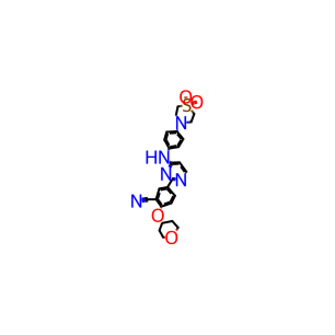 N#Cc1cc(-c2nccc(Nc3ccc(N4CCS(=O)(=O)CC4)cc3)n2)ccc1OC1CCOCC1